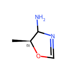 C[C@@H]1OC=NC1N